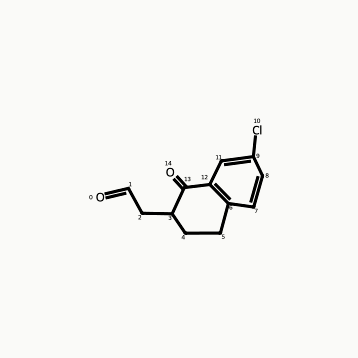 O=CCC1CCc2ccc(Cl)cc2C1=O